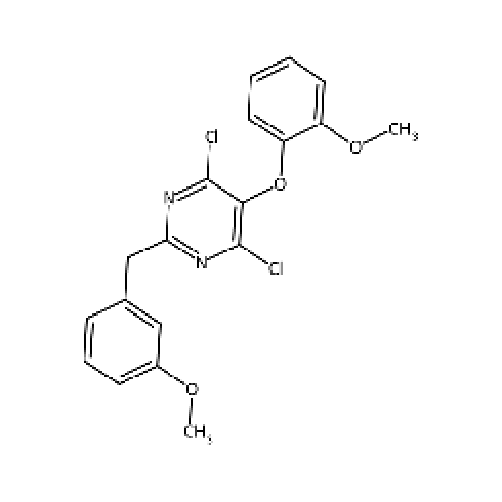 COc1cccc(Cc2nc(Cl)c(Oc3ccccc3OC)c(Cl)n2)c1